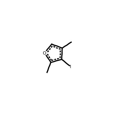 Cc1coc(C)c1I